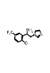 NC(Cn1ccnc1)c1cc(C(F)(F)F)ccc1Cl